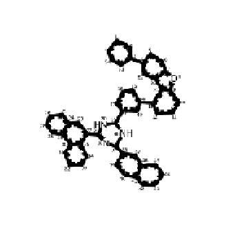 c1ccc(-c2ccc3oc4cccc(-c5cccc(C6NC(c7cc8ccccc8c8ccccc78)=NC(c7ccc8ccccc8c7)N6)c5)c4c3c2)cc1